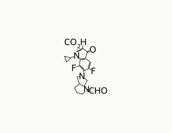 O=CN1CCCC2CN(c3c(F)cc4c(=O)c(C(=O)O)cn(C5CC5)c4c3F)CC21